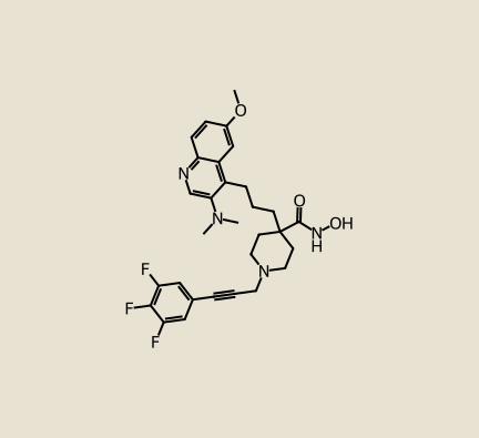 COc1ccc2ncc(N(C)C)c(CCCC3(C(=O)NO)CCN(CC#Cc4cc(F)c(F)c(F)c4)CC3)c2c1